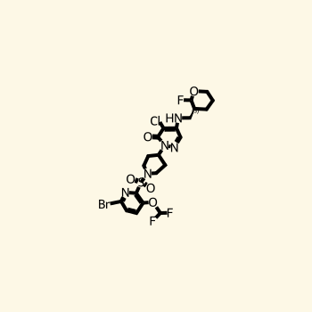 O=c1c(Cl)c(NC[C@@H]2CCCOC2F)cnn1C1CCN(S(=O)(=O)c2nc(Br)ccc2OC(F)F)CC1